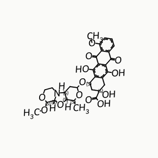 COc1cccc2c1C(=O)c1c(O)c3c(c(O)c1C2=O)C[C@@](O)(C(=O)O)C[C@@H]3OC1C[C@H]2[C@H](O[C@@H]3[C@@H](OC)OCCN32)[C@H](C)O1